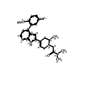 COc1ccc(F)cc1-c1ccnc2[nH]c(C3=CCN(CC(=O)N(C)C)[C@H](C)C3)cc12